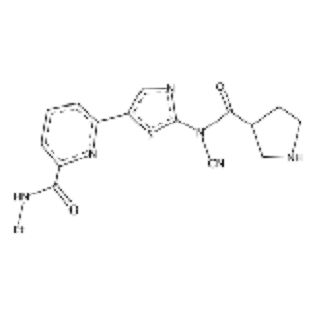 CCNC(=O)c1cccc(-c2cnc(N(C#N)C(=O)C3CCNC3)s2)n1